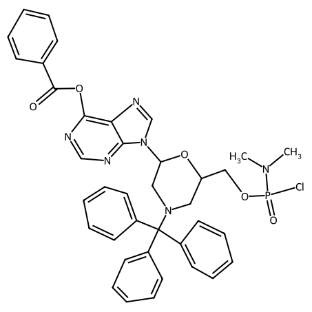 CN(C)P(=O)(Cl)OCC1CN(C(c2ccccc2)(c2ccccc2)c2ccccc2)CC(n2cnc3c(OC(=O)c4ccccc4)ncnc32)O1